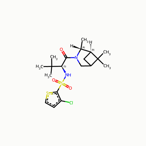 C[C@@H]1[C@@H]2CC(CN1C(=O)[C@@H](NS(=O)(=O)c1sccc1Cl)C(C)(C)C)C2(C)C